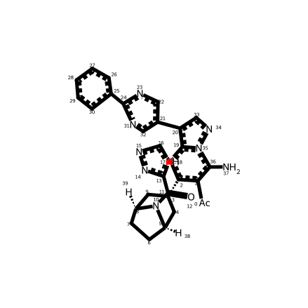 CC(=O)c1c([C@@H]2C[C@H]3CC[C@@H](C2)N3C(=O)c2nnc[nH]2)nc2c(-c3cnc(-c4ccccc4)nc3)cnn2c1N